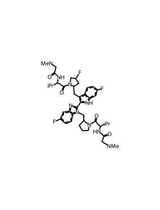 CNCC(=O)NC(C(=O)N1CCCC1Cn1c(-c2[nH]c3cc(F)ccc3c2CC2CC(F)CN2C(=O)C(NC(=O)CNC)C(C)C)nc2cc(F)ccc21)C(C)C